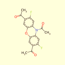 CC(=O)c1cc2c(cc1F)N(C(C)=O)c1cc(F)c(C(C)=O)cc1O2